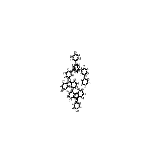 c1ccc(-c2cccc(-c3nc(-c4ccccc4)nc(-c4cccc(-n5c6ccccc6c6c(-c7cccc8c7c7ccccc7n8-c7ccccc7)cccc65)c4)n3)c2)cc1